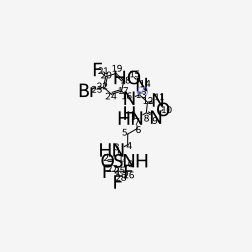 N=S(=O)(NCCCNc1nonc1/C(=N/O)Nc1ccc(F)c(Br)c1)C(F)(F)F